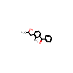 Cc1c(CC(C)O)cccc1C(=O)c1ccccc1